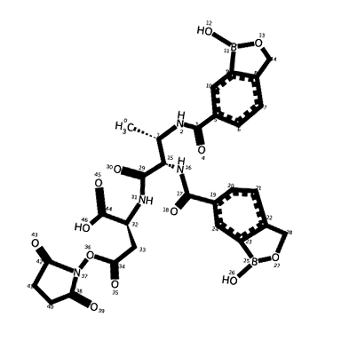 C[C@H](NC(=O)c1ccc2c(c1)B(O)OC2)[C@H](NC(=O)c1ccc2c(c1)B(O)OC2)C(=O)N[C@@H](CC(=O)ON1C(=O)CCC1=O)C(=O)O